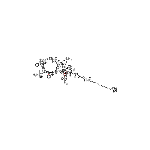 CC(=O)[C@@H]1CCCCNC(=O)CC[C@H](NC(=O)[C@H](CCCN)NC(=O)[C@H](CO)NC(=O)[C@H](Cc2c[nH]cn2)NC(=O)[C@H](CCC(N)=O)NC(=O)[C@H](CO)NC(=O)CNC(=O)COCCOCCNC(=O)CCCCCCCCCCCCCCCc2nnn[nH]2)C(=O)N2C[C@H](O)C[C@H]2C(=O)N[C@H](Cc2ccccc2)C(=O)N[C@@H](CCCNC(=N)N)C(=O)N[C@@H](Cc2c[nH]c3ccccc23)C(=O)N1